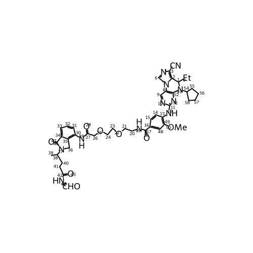 CCC1c2c(C#N)ncn2-c2cnc(Nc3ccc(C(=O)NCCOCCOCC(=O)Nc4cccc5c4CN(C(C)CCC(=O)NC=O)C5=O)cc3OC)nc2N1C1CCCC1